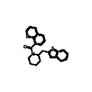 O=C(c1cccc2cccnc12)N1CCCCC1Cc1cc2ccccc2s1